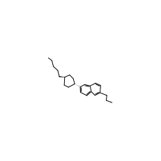 CCCCC[C@H]1CC[C@H](c2ccc3cc(CCC)ccc3c2)CC1